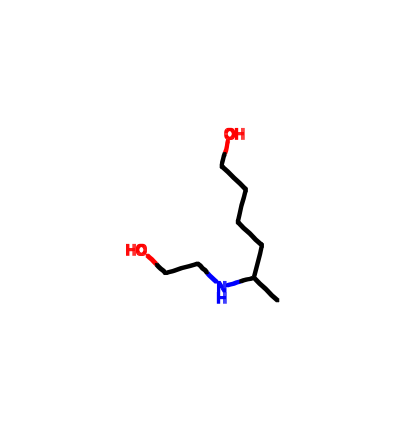 CC(CCCCO)NCCO